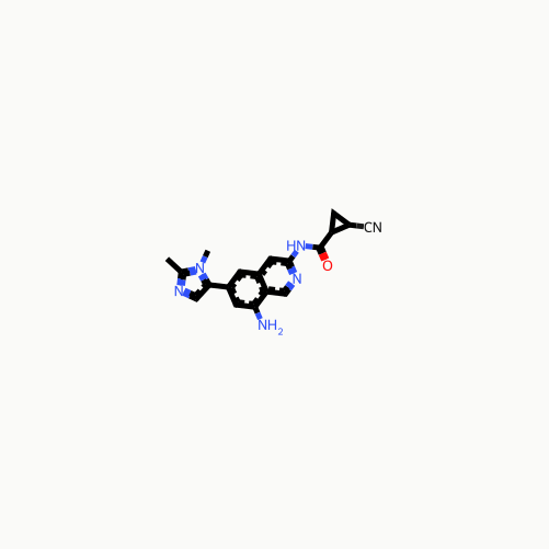 Cc1ncc(-c2cc(N)c3cnc(NC(=O)C4CC4C#N)cc3c2)n1C